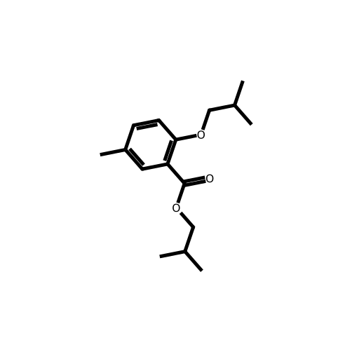 Cc1ccc(OCC(C)C)c(C(=O)OCC(C)C)c1